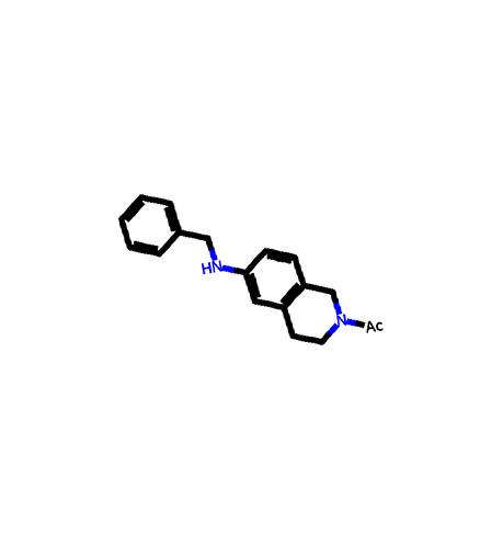 CC(=O)N1CCc2cc(NCc3ccccc3)ccc2C1